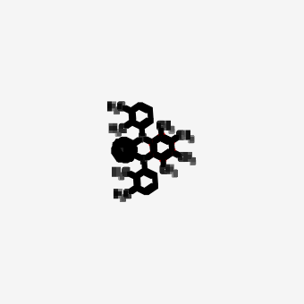 Cc1cccc(P(c2cccc(C)c2C)[C]23[CH]4[CH]5[CH]6[C]2(P(c2cccc(C)c2C)c2cccc(C)c2C)[Ni]54632789[CH]3[CH]2[CH]7[CH]8[CH]39)c1C